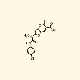 CN(C(=O)Nc1ccc(Cl)cc1)c1cc2oc(=O)c(C(=O)O)cc2s1